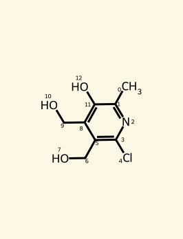 Cc1nc(Cl)c(CO)c(CO)c1O